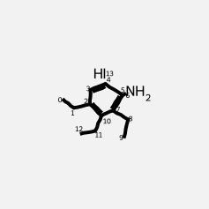 CCc1ccc(N)c(CC)c1CC.I